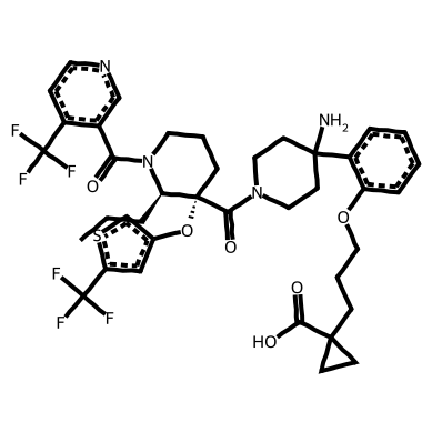 CCC[C@H]1N(C(=O)c2cnccc2C(F)(F)F)CCC[C@@]1(Oc1csc(C(F)(F)F)c1)C(=O)N1CCC(N)(c2ccccc2OCCCC2(C(=O)O)CC2)CC1